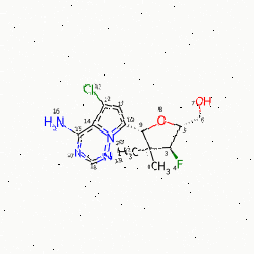 CC1(C)[C@H](F)[C@@H](CO)O[C@H]1c1cc(Cl)c2c(N)ncnn12